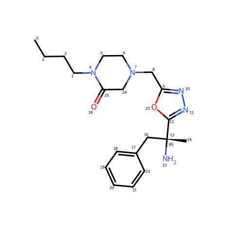 CCCCN1CCN(Cc2nnc([C@](C)(N)Cc3ccccc3)o2)CC1=O